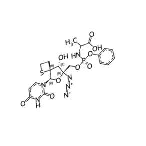 CC(NP(=O)(OC[C@@]1(N=[N+]=[N-])O[C@@H](n2ccc(=O)[nH]c2=O)[C@@]2(CCS2)[C@@H]1O)Oc1ccccc1)C(=O)O